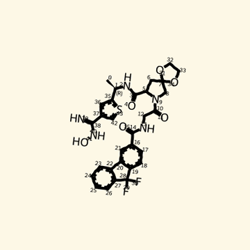 C[C@@H](NC(=O)C1CC2(CN1C(=O)CNC(=O)c1ccc3c(c1)-c1ccccc1C3(F)F)OCCO2)c1cc(C(=N)NO)cs1